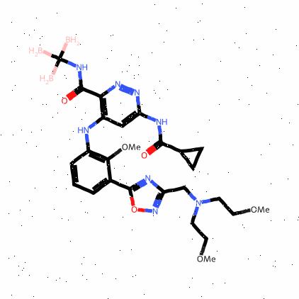 BC(B)(B)NC(=O)c1nnc(NC(=O)C2CC2)cc1Nc1cccc(-c2nc(CN(CCOC)CCOC)no2)c1OC